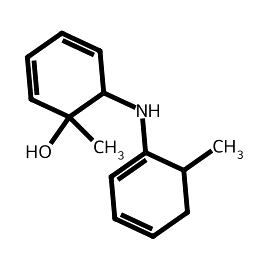 CC1CC=CC=C1NC1C=CC=CC1(C)O